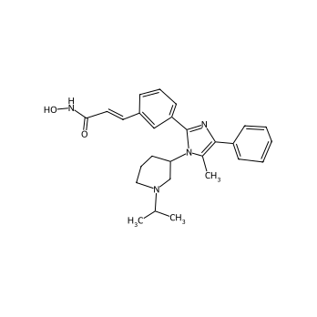 Cc1c(-c2ccccc2)nc(-c2cccc(C=CC(=O)NO)c2)n1C1CCCN(C(C)C)C1